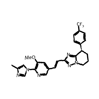 COc1cc(/C=C/c2nc3n(n2)CCC[C@@H]3c2ccc(C(F)(F)F)cc2)cnc1-n1cnc(C)c1